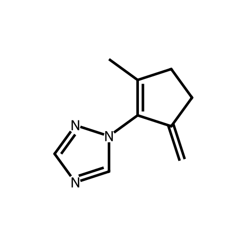 C=C1CCC(C)=C1n1cncn1